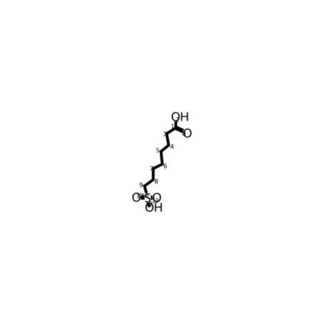 O=C(O)CCCCCCCS(=O)(=O)O